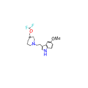 COc1ccc2[nH]cc(CCN3CCC[C@@H](COC(F)F)CC3)c2c1